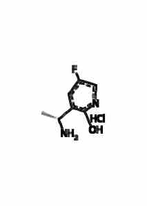 C[C@@H](N)c1cc(F)cnc1O.Cl